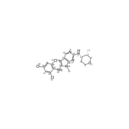 C[C@@H]1COCC[C@@H]1Nc1ncc2nc(Nc3c(Cl)cc(Cl)cc3Cl)n(C)c2n1